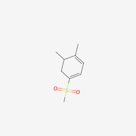 CC1=CC=C(S(C)(=O)=O)CC1C